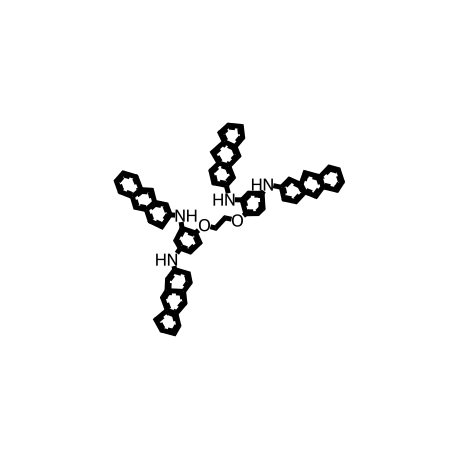 c1ccc2cc3cc(Nc4ccc(OCCOc5ccc(Nc6ccc7cc8ccccc8cc7c6)cc5Nc5ccc6cc7ccccc7cc6c5)c(Nc5ccc6cc7ccccc7cc6c5)c4)ccc3cc2c1